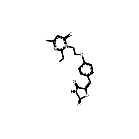 CCc1nc(C)cc(=O)n1CCOc1ccc(C=C2OC(=O)NC2=O)cc1